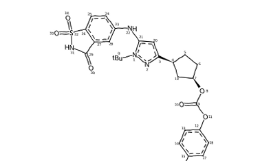 CC(C)(C)n1nc([C@H]2CC[C@@H](OC(=O)Oc3ccc([N+](=O)[O-])cc3)C2)cc1Nc1ccc2c(c1)C(=O)NS2(=O)=O